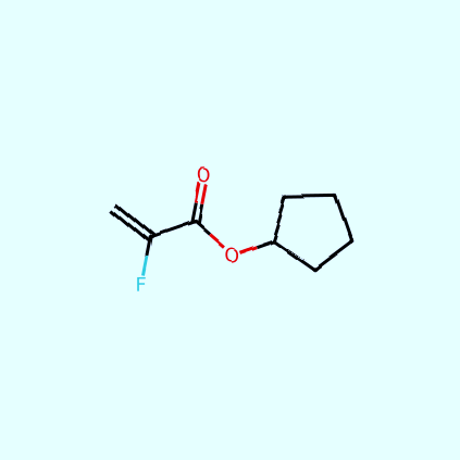 C=C(F)C(=O)OC1CCCC1